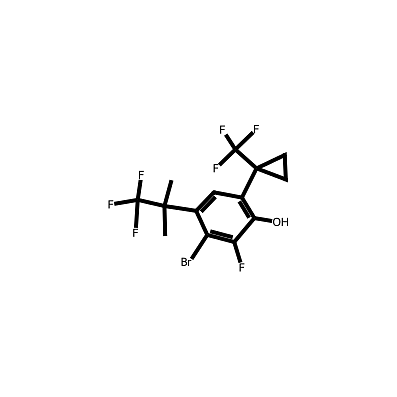 CC(C)(c1cc(C2(C(F)(F)F)CC2)c(O)c(F)c1Br)C(F)(F)F